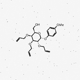 C=CCO[C@H]1[C@@H](OCC=C)[C@@H](CO)O[C@H](Oc2ccc(OC)cc2)[C@@H]1OCC=C